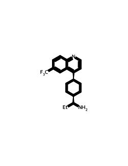 CCC(N)[C@H]1CC[C@@H](c2ccnc3ccc(C(F)(F)F)cc32)CC1